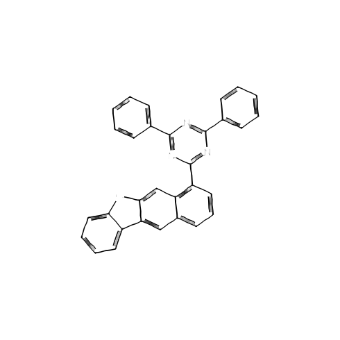 c1ccc(-c2nc(-c3ccccc3)nc(-c3cccc4cc5c(cc34)oc3ccccc35)n2)cc1